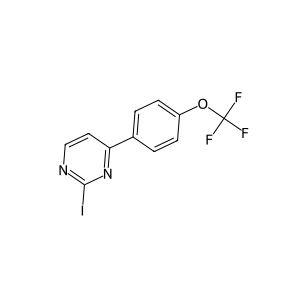 FC(F)(F)Oc1ccc(-c2ccnc(I)n2)cc1